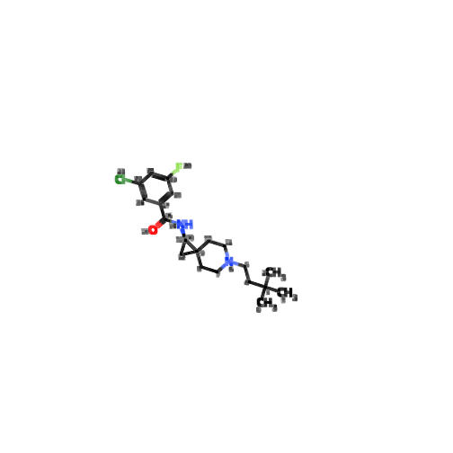 CC(C)(C)CCN1CCC2(CC1)C[C@H]2NC(=O)c1cc(F)cc(Cl)c1